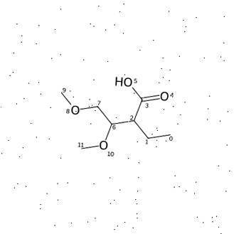 CCC(C(=O)O)C(COC)OC